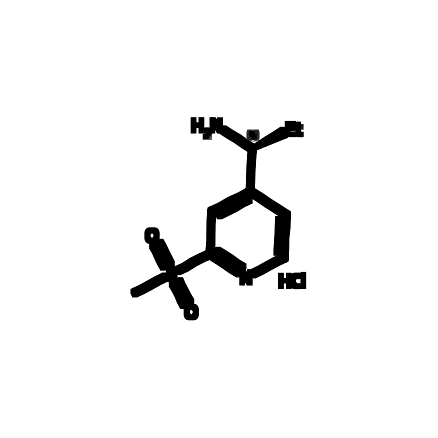 CC[C@H](N)c1ccnc(S(C)(=O)=O)c1.Cl